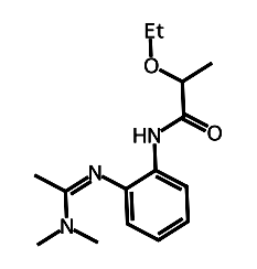 CCOC(C)C(=O)Nc1ccccc1N=C(C)N(C)C